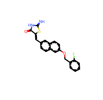 N=C1NC(=O)C(=Cc2ccc3cc(OCc4ccccc4F)ccc3c2)S1